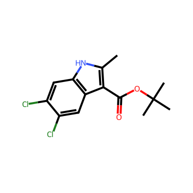 Cc1[nH]c2cc(Cl)c(Cl)cc2c1C(=O)OC(C)(C)C